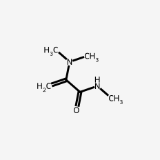 C=C(C(=O)NC)N(C)C